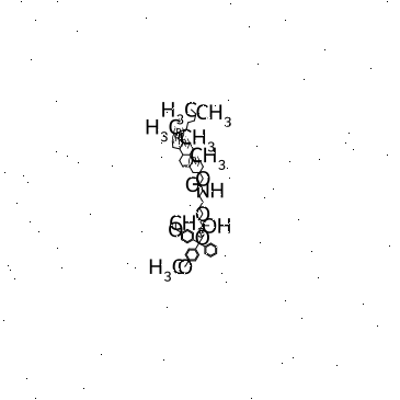 COc1ccc(C(OCC(O)COCCCNC(=O)OC2CC[C@@]3(C)C(=CCC4C3CC[C@@]3(C)C4CC[C@@H]3[C@H](C)CCCC(C)C)C2)(c2ccccc2)c2ccc(OC)cc2)cc1